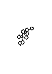 O=P1(c2cccc(-c3ccccc3)c2)c2ccccc2-c2c(n(-c3cccc4ccccc34)c3ccccc23)-c2ccccc21